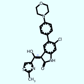 Cc1nc(/C(O)=C2\C(=O)Nc3cc(Cl)c(-c4ccc(N5CCOCC5)cc4)cc32)cs1